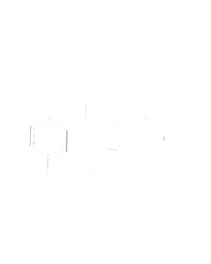 COP(=O)(COS(=O)(=O)c1c(F)cccc1SC(F)(F)F)OC(C)C